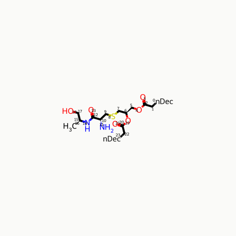 CCCCCCCCCCCC(=O)OC[C@H](CSC[C@H](N)C(=O)N[C@H](C)CO)OC(=O)CCCCCCCCCCC